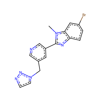 Cn1c(-c2cncc(Cn3ccnn3)c2)nc2ccc(Br)cc21